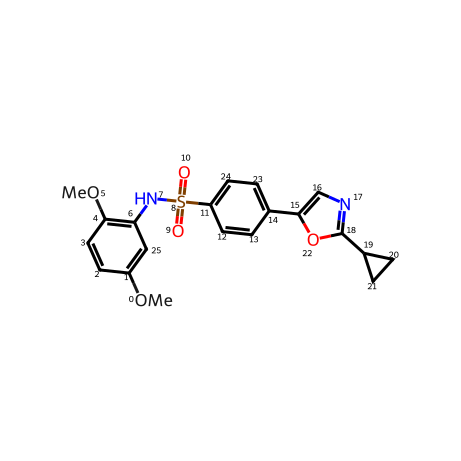 COc1ccc(OC)c(NS(=O)(=O)c2ccc(-c3cnc(C4CC4)o3)cc2)c1